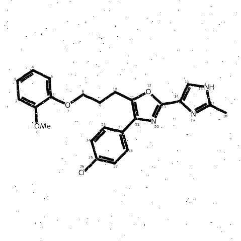 COc1ccccc1OCCCc1oc(-c2c[nH]c(C)n2)nc1-c1ccc(Cl)cc1